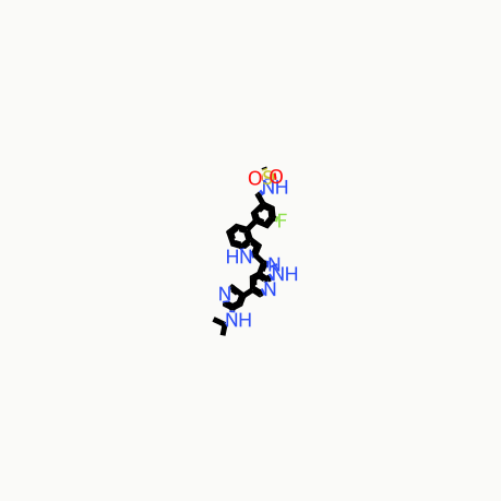 CC(C)Nc1cncc(-c2cnc3[nH]nc(-c4cc5c(-c6cc(F)cc(CNS(C)(=O)=O)c6)cccc5[nH]4)c3c2)c1